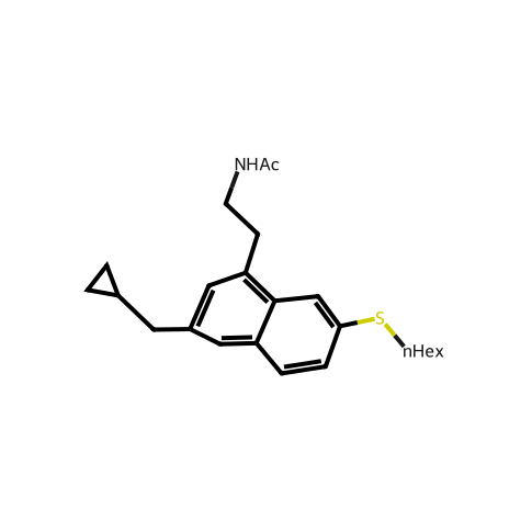 CCCCCCSc1ccc2cc(CC3CC3)cc(CCNC(C)=O)c2c1